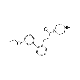 CCOc1cccc(-c2ccccc2CCC(=O)N2CCNCC2)c1